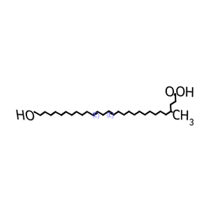 CC(CCCCCCCCCC/C=C/C/C=C/CCCCCCCCCCCO)CCC(=O)O